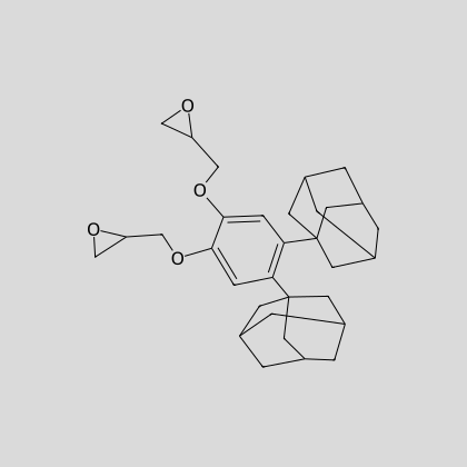 c1c(OCC2CO2)c(OCC2CO2)cc(C23CC4CC(CC(C4)C2)C3)c1C12CC3CC(CC(C3)C1)C2